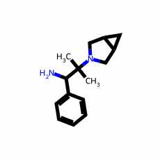 CC(C)(C(N)c1ccccc1)N1CC2CC2C1